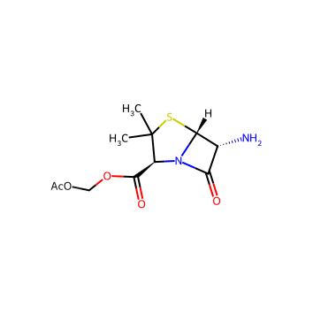 CC(=O)OCOC(=O)[C@@H]1N2C(=O)[C@@H](N)[C@H]2SC1(C)C